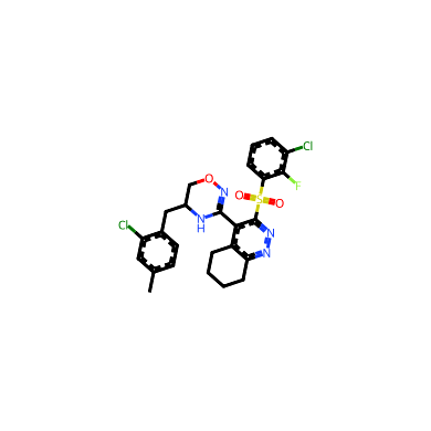 Cc1ccc(CC2CON=C(c3c(S(=O)(=O)c4cccc(Cl)c4F)nnc4c3CCCC4)N2)c(Cl)c1